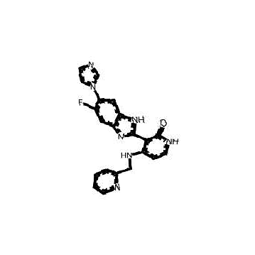 O=c1[nH]ccc(NCc2ccccn2)c1-c1nc2cc(F)c(-n3ccnc3)cc2[nH]1